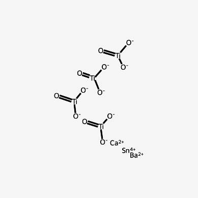 [Ba+2].[Ca+2].[O]=[Ti]([O-])[O-].[O]=[Ti]([O-])[O-].[O]=[Ti]([O-])[O-].[O]=[Ti]([O-])[O-].[Sn+4]